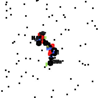 CCCOC(=O)[C@H](C)NP(=O)(Oc1ccccc1)C(F)c1ccc2sc(C(=O)N[C@H]3CCC[C@H]4CC[C@@H](C(=O)N5CC(c6cc(F)ccc6OC)C5)N4C3=O)cc2c1